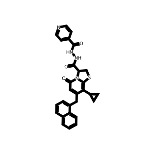 O=C(NNC(=O)C1CSc2c(C3CC3)c(Cc3cccc4ccccc34)cc(=O)n21)c1ccncc1